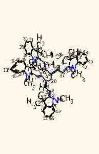 CN1/C(=C/C=C(/C=C/C2=[N+](C)c3ccccc3C2(C)C)CC(/C=C/C2=[N+](C)c3ccccc3C2(C)C)=C\C=C2\N(C)c3ccccc3C2(C)C)C(C)(C)c2ccccc21